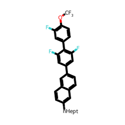 CCCCCCCc1ccc2cc(-c3cc(F)c(-c4ccc(OC(F)(F)F)c(F)c4)c(F)c3)ccc2c1